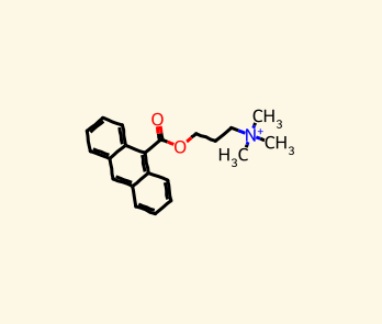 C[N+](C)(C)CCCOC(=O)c1c2ccccc2cc2ccccc12